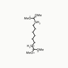 COC(OC)[SiH2]CCCCCC[SiH2]C(OC)OC